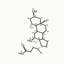 CC(CCC(=O)O)[C@H]1CCC2C3CC[C@H]4C[C@H](O)CC[C@]4(C)C3C[C@H](O)[C@@]21C